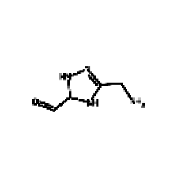 NCC1=NNC(C=O)N1